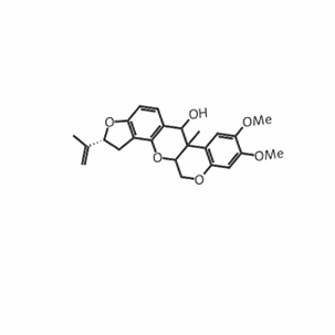 C=C(C)[C@H]1Cc2c(ccc3c2OC2COc4cc(OC)c(OC)cc4C2(C)C3O)O1